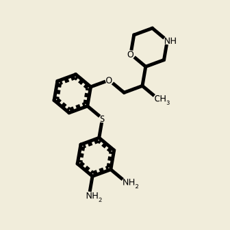 CC(COc1ccccc1Sc1ccc(N)c(N)c1)C1CNCCO1